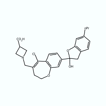 CCCc1ccc2c(c1)OC(O)(c1ccc3c(c1)OCCC(CN1CC(C(=O)O)C1)=C3Cl)C2